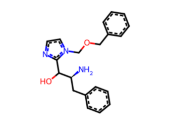 N[C@@H](Cc1ccccc1)C(O)c1nccn1COCc1ccccc1